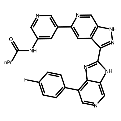 CCCC(=O)Nc1cncc(-c2cc3c(-c4nc5c(-c6ccc(F)cc6)cncc5[nH]4)n[nH]c3cn2)c1